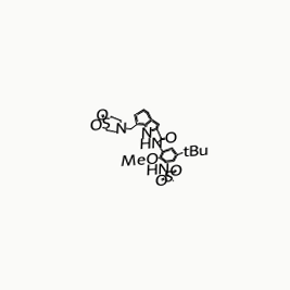 COc1c(NC(=O)c2cc3cccc(CN4CCS(=O)(=O)CC4)c3n2C)cc(C(C)(C)C)cc1NS(C)(=O)=O